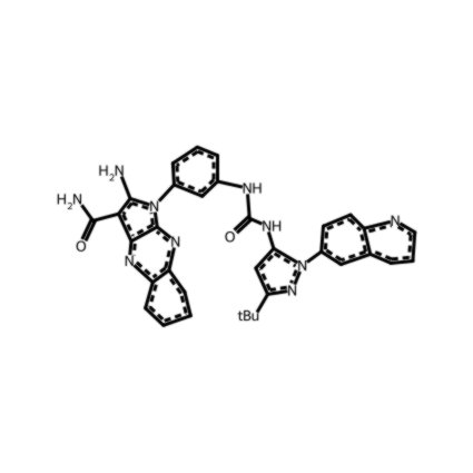 CC(C)(C)c1cc(NC(=O)Nc2cccc(-n3c(N)c(C(N)=O)c4nc5ccccc5nc43)c2)n(-c2ccc3ncccc3c2)n1